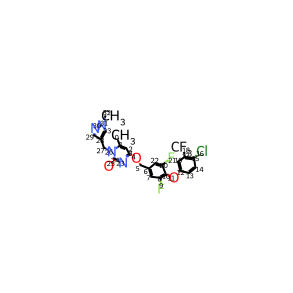 Cc1cc(OCc2cc(F)c(Oc3ccc(Cl)c(C(F)(F)F)c3)c(F)c2)nc(=O)n1Cc1cnn(C)c1